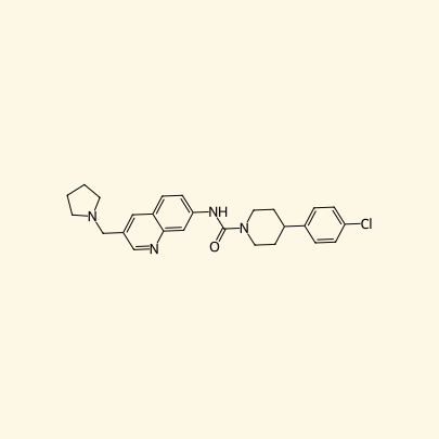 O=C(Nc1ccc2cc(CN3CCCC3)cnc2c1)N1CCC(c2ccc(Cl)cc2)CC1